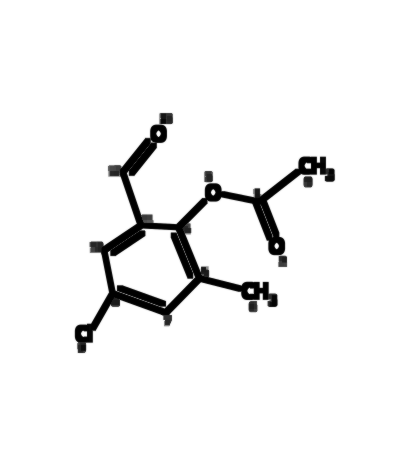 CC(=O)Oc1c(C)cc(Cl)cc1C=O